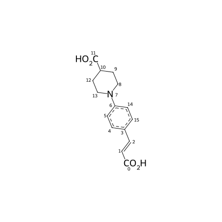 O=C(O)/C=C/c1ccc(N2CCC(C(=O)O)CC2)cc1